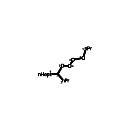 CCCCCCCC(CCC)OOOOCCC